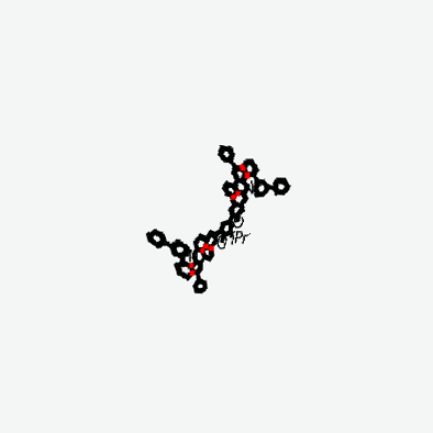 CC(C)c1c2oc3cc4cc(N(c5ccc(-c6ccccc6)cc5-c5ccccc5)c5ccc(-c6ccccc6)cc5-c5ccccc5)ccc4cc3c2cc2c1oc1cc3cc(N(c4ccc(-c5ccccc5)cc4-c4ccccc4)c4ccc(-c5ccccc5)cc4-c4ccccc4)ccc3cc12